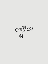 C1=NC(CCCn2c(SCc3ccccc3)nnc2-c2ccc3ccccc3c2)=CC1